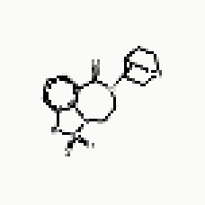 O=C1c2cccc3c2N(CCN1C1CN2CCC1CC2)S(=O)(=O)N3